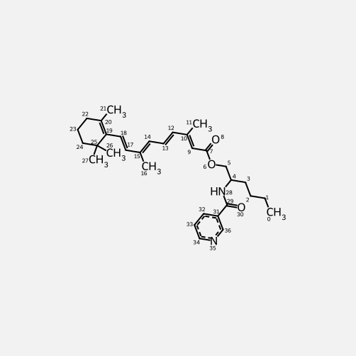 CCCCC(COC(=O)C=C(C)C=CC=C(C)C=CC1=C(C)CCCC1(C)C)NC(=O)c1cccnc1